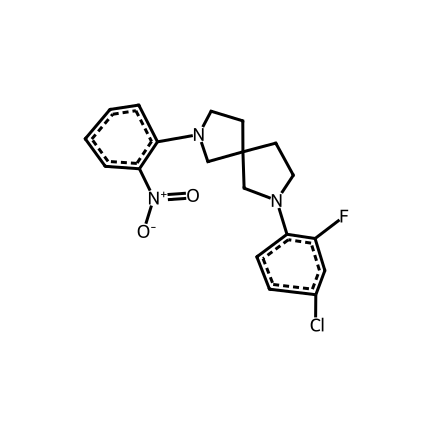 O=[N+]([O-])c1ccccc1N1CCC2(CCN(c3ccc(Cl)cc3F)C2)C1